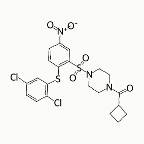 O=C(C1CCC1)N1CCN(S(=O)(=O)c2cc([N+](=O)[O-])ccc2Sc2cc(Cl)ccc2Cl)CC1